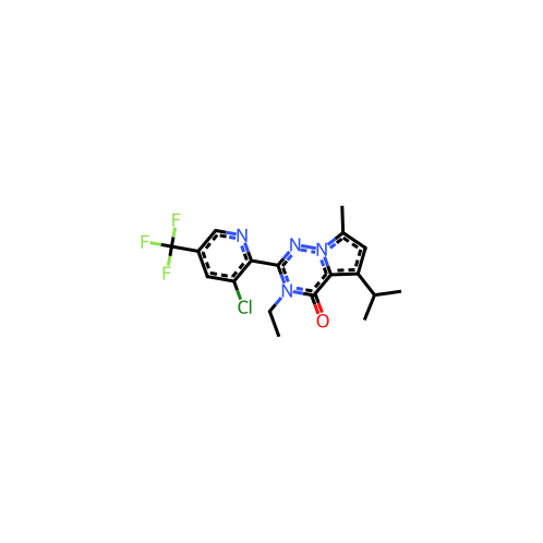 CCn1c(-c2ncc(C(F)(F)F)cc2Cl)nn2c(C)cc(C(C)C)c2c1=O